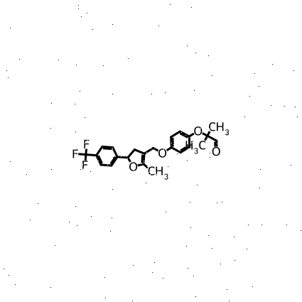 CC1=C(COc2ccc(OC(C)(C)C=O)cc2)CC(c2ccc(C(F)(F)F)cc2)O1